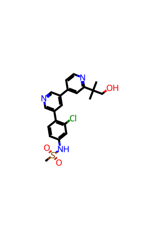 CC(C)(CO)c1cc(-c2cncc(-c3ccc(NS(C)(=O)=O)cc3Cl)c2)ccn1